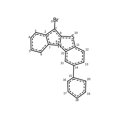 Brc1c2ccccc2n2c1sc1ccc(-c3ccccc3)cc12